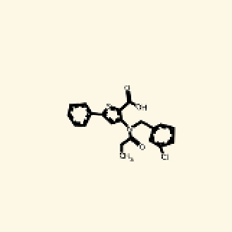 CCC(=O)N(Cc1cccc(Cl)c1)c1cc(-c2ccccc2)sc1C(=O)O